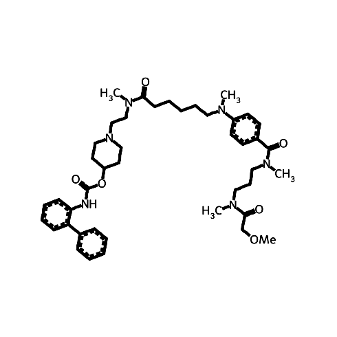 COCC(=O)N(C)CCCN(C)C(=O)c1ccc(N(C)CCCCCC(=O)N(C)CCN2CCC(OC(=O)Nc3ccccc3-c3ccccc3)CC2)cc1